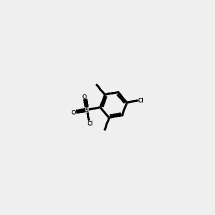 Cc1cc(Cl)cc(C)c1S(=O)(=O)Cl